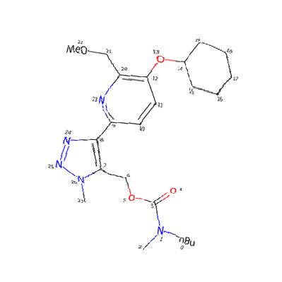 CCCCN(C)C(=O)OCc1c(-c2ccc(OC3CCCCC3)c(COC)n2)nnn1C